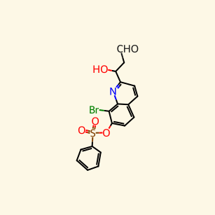 O=CCC(O)c1ccc2ccc(OS(=O)(=O)c3ccccc3)c(Br)c2n1